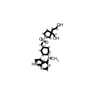 CN(c1ncnc2[nH]ccc12)[C@H]1CC[C@H](CS(=O)(=O)N2CCC(CO)(CCO)C2)CC1